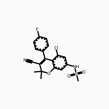 CC1(C)Oc2cc(NS(C)(=O)=O)cc(Cl)c2C(c2ccc(F)cc2)=C1C#N